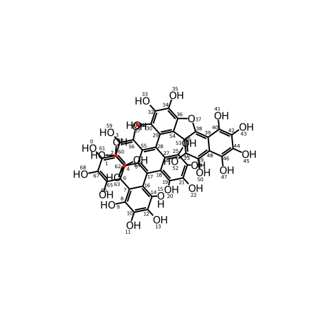 Oc1c(O)c(O)c(-c2c(O)c(O)c(O)c(O)c2-c2c3c(O)c(O)c(O)c(O)c3c(-c3c(O)c(O)c(O)c4oc5c6c(O)c(O)c(O)c(O)c6c(O)c(O)c5c34)c3c(O)c(O)c(O)c(O)c23)c(O)c1O